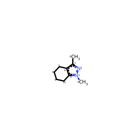 Cc1nn(C)c2c1CCCC2